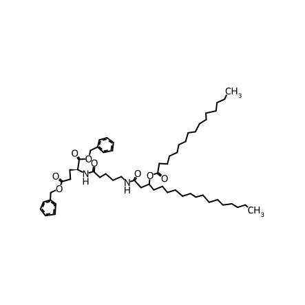 CCCCCCCCCCCCCCCC(=O)OC(CCCCCCCCCCCCCCC)CC(=O)NCCCCC(=O)N[C@@H](CCC(=O)OCc1ccccc1)C(=O)OCc1ccccc1